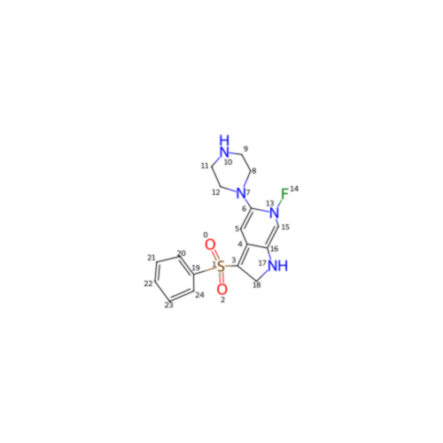 O=S(=O)(C1=C2C=C(N3CCNCC3)N(F)C=C2NC1)c1ccccc1